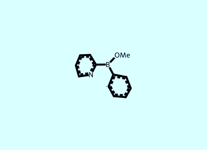 COB(c1[c]cccc1)c1ccccn1